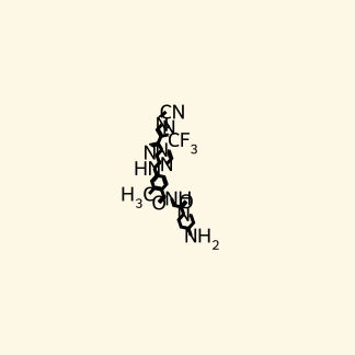 Cc1cc(Nc2nccn3c(-c4cn(CC#N)nc4C(F)(F)F)cnc23)ccc1C(=O)NCC(=O)N1CCC(N)CC1